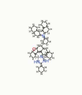 c1ccc(C2=NC(c3cccc4oc5cc(-c6cccc(-n7c8ccc9ccccc9c8c8c9ccccc9ccc87)c6)c6ccccc6c5c34)NC(c3ccccc3)N2)cc1